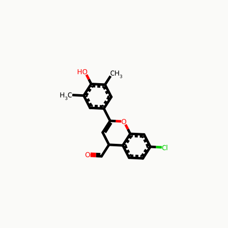 Cc1cc(C2=CC(C=O)c3ccc(Cl)cc3O2)cc(C)c1O